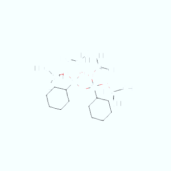 C[SiH](C)O[Si](O[SiH](C)C)(O[Si](O[SiH](C)C)(O[SiH](C)C)C1CCCCC1)C1CCCCC1